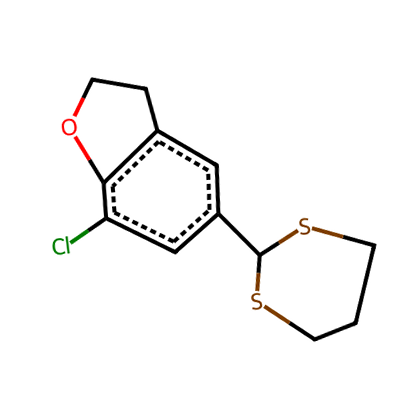 Clc1cc(C2SCCCS2)cc2c1OCC2